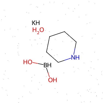 C1CCNCC1.O.OBO.[KH]